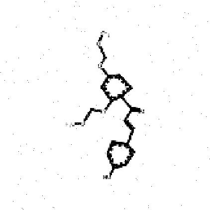 COCOc1ccc(C(=O)/C=C/c2ccc(O)cc2)c(OCOC)c1